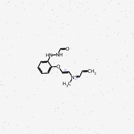 C=C/C=[N+](C)\C=C\Oc1ccccc1NNC=O